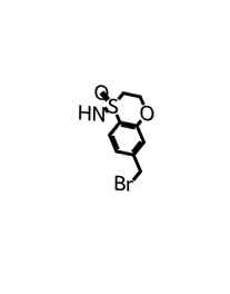 N=S1(=O)CCOc2cc(CBr)ccc21